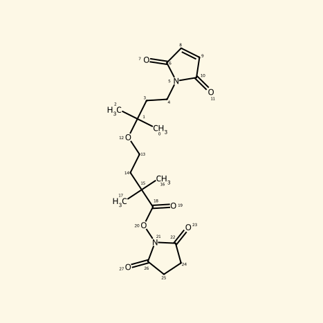 CC(C)(CCN1C(=O)C=CC1=O)OCCC(C)(C)C(=O)ON1C(=O)CCC1=O